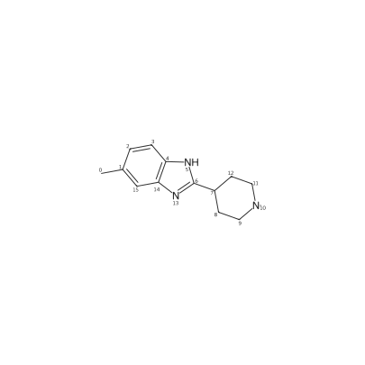 Cc1ccc2[nH]c(C3CC[N]CC3)nc2c1